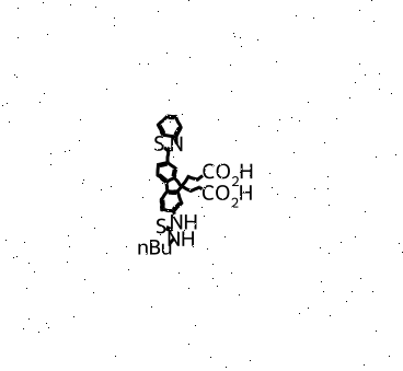 CCCCNC(=S)Nc1ccc2c(c1)C(CCC(=O)O)(CCC(=O)O)c1cc(-c3nc4ccccc4s3)ccc1-2